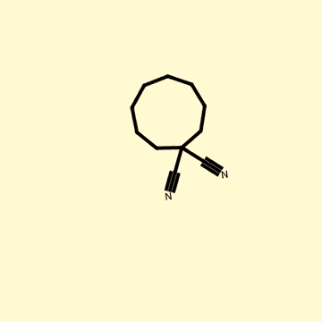 N#CC1(C#N)CCCCCCCC1